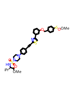 COOSc1ccc(COc2cccc(-c3csc(C#Cc4ccc(N5CCN(S(=O)(=O)N[C@@H](C(=O)OC)C(C)C)CC5)cc4)n3)c2)cc1